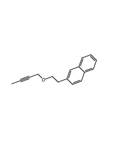 CC#CCOCCc1ccc2ccccc2c1